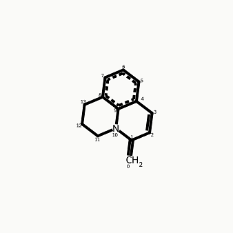 C=C1C=Cc2cccc3c2N1CCC3